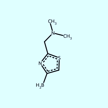 Bc1csc(CN(C)C)n1